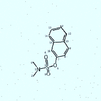 CN(C)S(=O)(=O)Oc1ccc2ccccc2c1